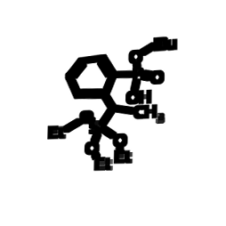 CCO[Si](OCC)(OCC)C(C)c1ccccc1P(=O)(O)OC(C)CC